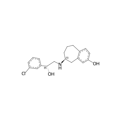 Oc1ccc2c(c1)C[C@@H](NC[C@H](O)c1cccc(Cl)c1)CCC2